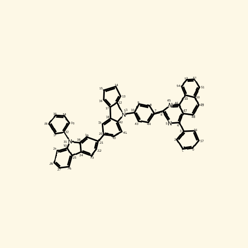 c1ccc(-c2nc(-c3ccc(-n4c5ccccc5c5cc(-c6ccc7c8ccccc8n(-c8ccccc8)c7c6)ccc54)cc3)nc3c2ccc2ccccc23)cc1